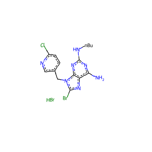 Br.CCCCNc1nc(N)c2nc(Br)n(Cc3ccc(Cl)nc3)c2n1